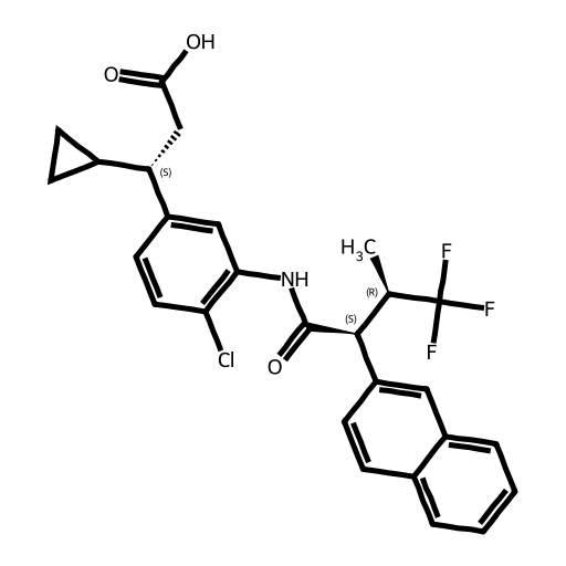 C[C@H]([C@H](C(=O)Nc1cc([C@@H](CC(=O)O)C2CC2)ccc1Cl)c1ccc2ccccc2c1)C(F)(F)F